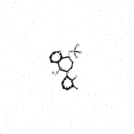 Cc1cccc([C@@H]2CC[C@@H](O[Si](C(C)C)(C(C)C)C(C)C)c3ncccc3[C@H]2N)c1F